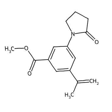 C=C(C)c1cc(C(=O)OC)cc(N2CCCC2=O)c1